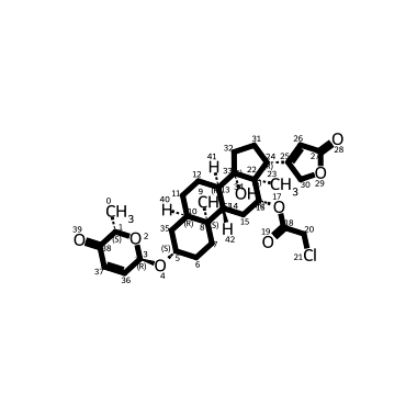 C[C@@H]1O[C@@H](O[C@H]2CC[C@@]3(C)[C@H](CC[C@@H]4[C@@H]3C[C@@H](OC(=O)CCl)[C@]3(C)[C@@H](C5=CC(=O)OC5)CC[C@]43O)C2)C=CC1=O